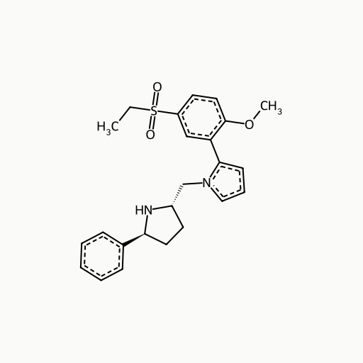 CCS(=O)(=O)c1ccc(OC)c(-c2cccn2C[C@@H]2CC[C@@H](c3ccccc3)N2)c1